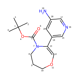 CC(C)(C)OC(=O)N1CCCOC=C1c1cncc(N)c1